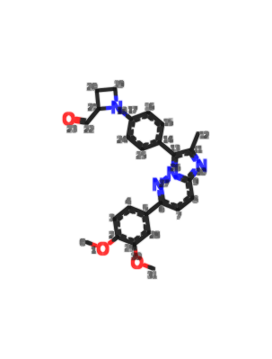 COc1ccc(-c2ccc3nc(C)c(-c4ccc(N5CCC5C=O)cc4)n3n2)cc1OC